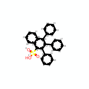 O=S(=O)(O)c1c(-c2ccccc2)c(-c2ccccc2)c(-c2ccccc2)c2ccccc12